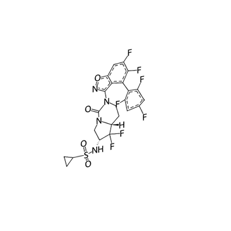 O=C1N(c2noc3cc(F)c(F)c(-c4c(F)cc(F)cc4F)c23)CC[C@H]2N1C[C@@H](NS(=O)(=O)C1CC1)C2(F)F